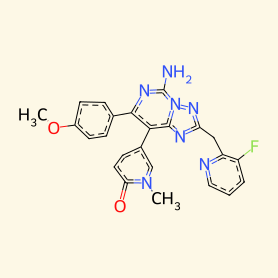 COc1ccc(-c2nc(N)n3nc(Cc4ncccc4F)nc3c2-c2ccc(=O)n(C)c2)cc1